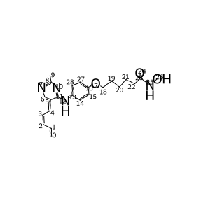 C=C/C=C\C=C1/CN=C(C)N=C1Nc1ccc(OCCCCCC(=O)NO)cc1